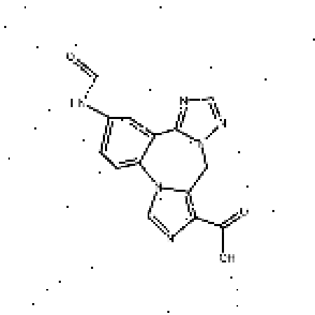 O=CNc1ccc2c(c1)-c1ncnn1Cc1c(C(=O)O)ncn1-2